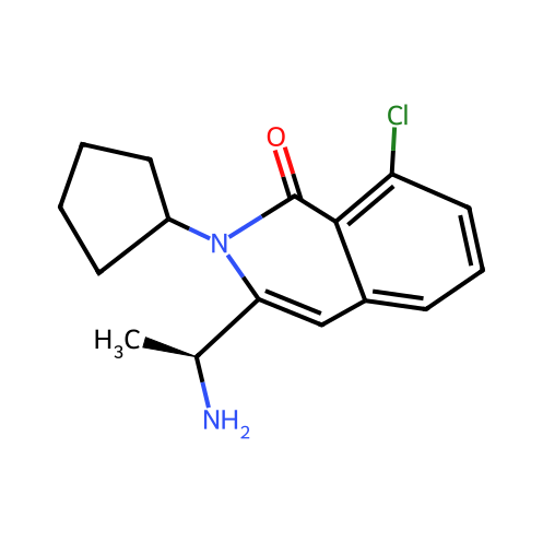 C[C@H](N)c1cc2cccc(Cl)c2c(=O)n1C1CCCC1